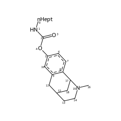 CCCCCCCNC(=O)Oc1ccc2c(c1)CC1CCN(C)C2C1